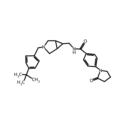 CC(C)(C)c1ccc(CN2CC3C(CNC(=O)c4ccc(N5CCCC5=O)cc4)C3C2)cc1